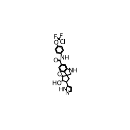 O=C(Nc1ccc(OC(F)(F)Cl)cc1)c1ccc2c(c1)NCC21CC(c2ccn[nH]2)C(O)C1=O